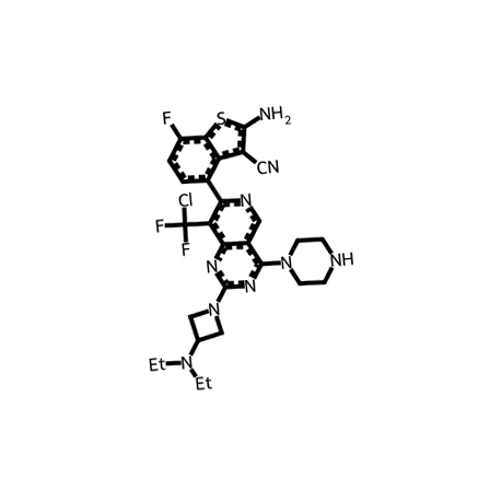 CCN(CC)C1CN(c2nc(N3CCNCC3)c3cnc(-c4ccc(F)c5sc(N)c(C#N)c45)c(C(F)(F)Cl)c3n2)C1